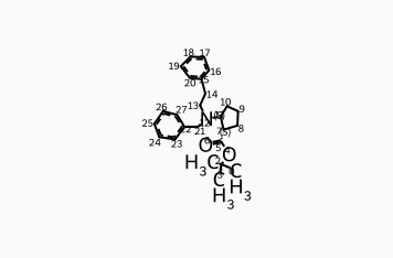 CC(C)(C)OC(=O)[C@H]1CCC[C@@H]1N(CCc1ccccc1)Cc1ccccc1